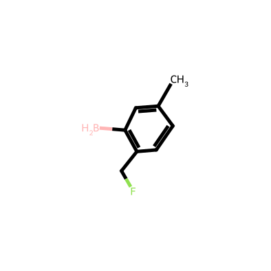 Bc1cc(C)ccc1CF